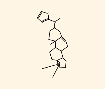 CC1C2CCC3C4CC=C5CC(N(C)c6nccs6)CCC5(C)C4CCC32CN1C